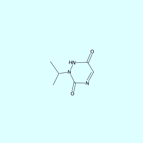 CC(C)n1[nH]c(=O)cnc1=O